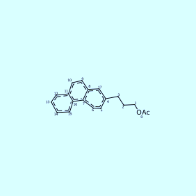 CC(=O)OCCCc1ccc2c(ccc3ccccc32)c1